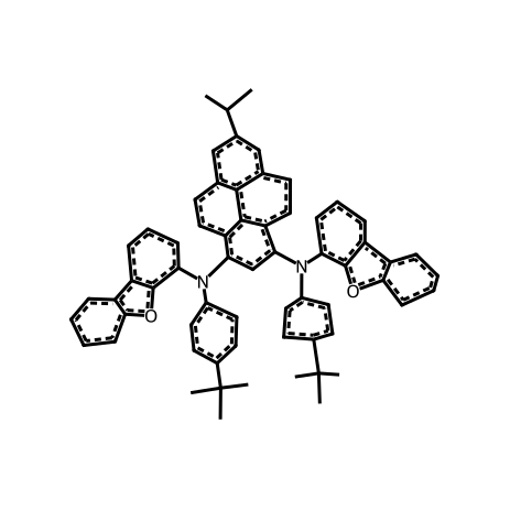 CC(C)c1cc2ccc3c(N(c4ccc(C(C)(C)C)cc4)c4cccc5c4oc4ccccc45)cc(N(c4ccc(C(C)(C)C)cc4)c4cccc5c4oc4ccccc45)c4ccc(c1)c2c34